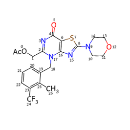 CC(=O)OCc1nc(=O)c2sc(N3CCOCC3)nc2n1Cc1cccc(C(F)(F)F)c1C